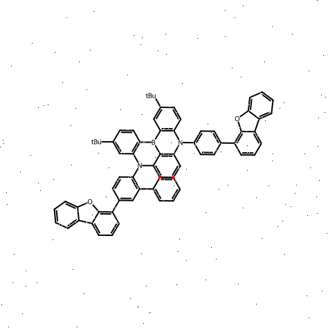 CC(C)(C)c1ccc2c(c1)B1c3ccc(C(C)(C)C)cc3N(c3ccc(-c4cccc5c4oc4ccccc45)cc3-c3ccccc3)c3cccc(c31)N2c1ccc(-c2cccc3c2oc2ccccc23)cc1